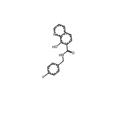 O=C(NCc1ccc(F)cc1)c1ccc2cccnc2c1O